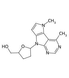 Cc1ncnc2c1c1c(ccn1C)n2C1CCC(CO)O1